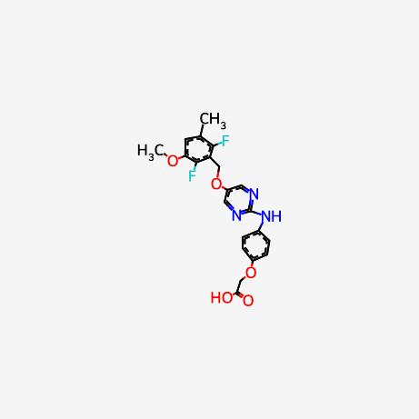 COc1cc(C)c(F)c(COc2cnc(Nc3ccc(OCC(=O)O)cc3)nc2)c1F